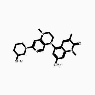 COc1cc(N2CCN(C)c3cc(N4CCCC(NC(C)=O)C4)ncc32)c2cc(C)c(=O)n(C)c2c1